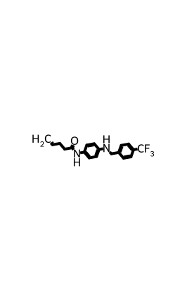 C=CCCC(=O)Nc1ccc(NCc2ccc(C(F)(F)F)cc2)cc1